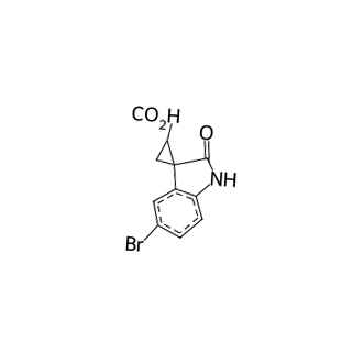 O=C(O)C1CC12C(=O)Nc1ccc(Br)cc12